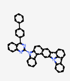 c1ccc(-c2ccc(-c3nc(-n4c5ccccc5c5c6cc7c(cc6ccc54)c4cccc5c6ccccc6n7c54)nc4ccccc34)cc2)cc1